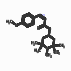 COc1ccc(/C=C\C(=O)OC2CC(C)(C)N(C)C(C)(C)C2)cc1